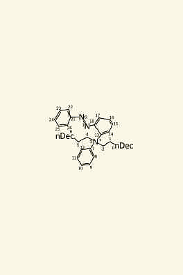 CCCCCCCCCCCC[N+](CCCCCCCCCCCC)(c1ccccc1)c1ccccc1N=Nc1ccccc1